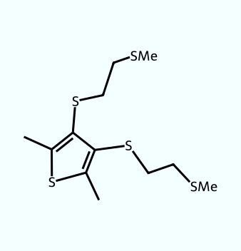 CSCCSc1c(C)sc(C)c1SCCSC